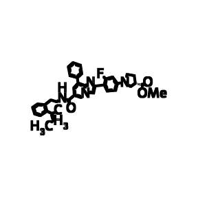 C/C=C(/C)c1ccccc1CCNC(=O)c1cc(-c2ccccc2)c2nc(-c3ccc(N4CC[C@H](C(=O)OC)C4)cc3F)cn2c1